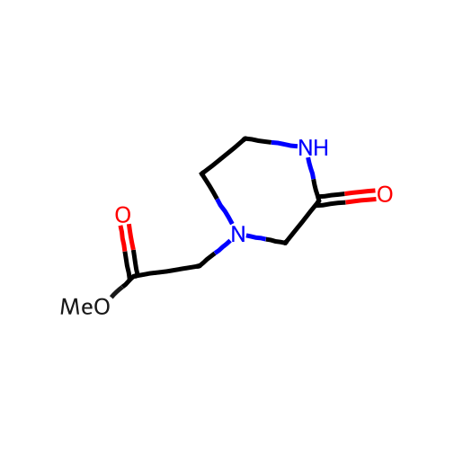 COC(=O)CN1CCNC(=O)C1